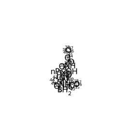 BC(=O)N[C@H](C(=O)N[C@@H](Cc1cccc2ccccc12)C(=O)NC(CCC)C(O)C(=O)NCC(=O)OCc1ccccc1)C1CCCCC1